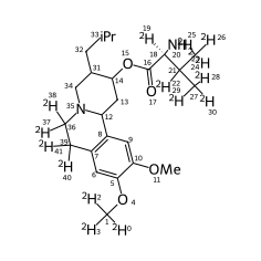 [2H]C([2H])([2H])Oc1cc2c(cc1OC)C1CC(OC(=O)[C@@]([2H])(N)C([2H])(C([2H])([2H])[2H])C([2H])([2H])[2H])C(CC(C)C)CN1C([2H])([2H])C2([2H])[2H]